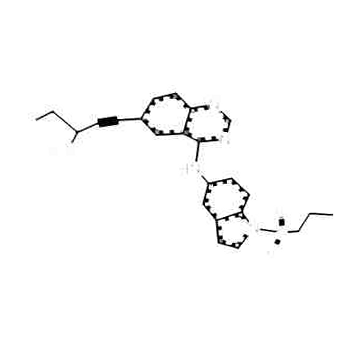 CCCS(=O)(=O)n1ccc2cc(Nc3ncnc4ccc(C#CC(O)CC)cc34)ccc21